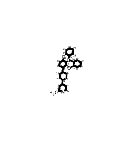 Cc1cc(-c2ccc(-c3ccc4c5c3Oc3ccccc3B5c3ccccc3O4)cc2)ccn1